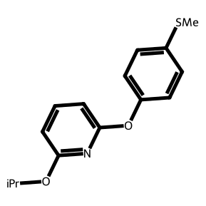 CSc1ccc(Oc2cccc(OC(C)C)n2)cc1